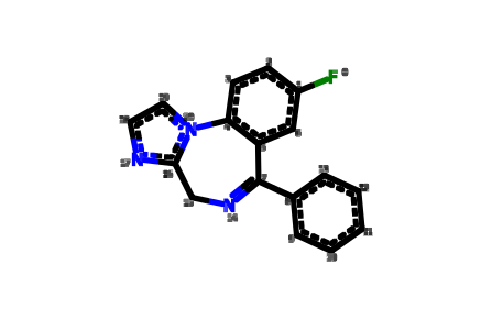 Fc1ccc2c(c1)C(c1ccccc1)=NCc1nccn1-2